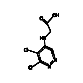 O=C(O)CNc1cnnc(Cl)c1Cl